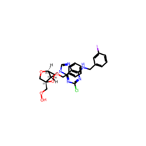 OOC[C@]12CO[C@@H]([C@H](n3cnc4c(NCc5cccc(I)c5)nc(Cl)nc43)O1)[C@@H]2OCc1ccccc1